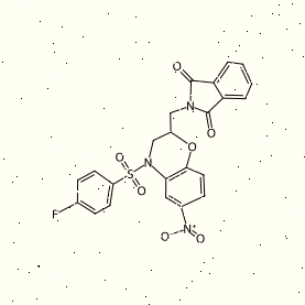 O=C1c2ccccc2C(=O)N1CC1CN(S(=O)(=O)c2ccc(F)cc2)c2cc([N+](=O)[O-])ccc2O1